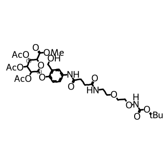 COC(=O)C1O[C@@H](Oc2ccc(NC(=O)CCC(=O)NCCOCCONC(=O)OC(C)(C)C)cc2CO)C(OC(C)=O)C(OC(C)=O)[C@@H]1OC(C)=O